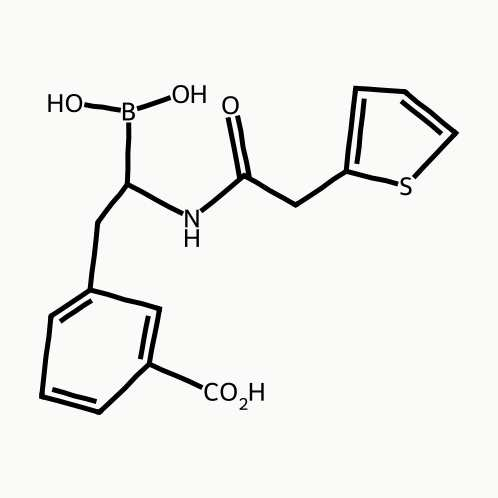 O=C(Cc1cccs1)NC(Cc1cccc(C(=O)O)c1)B(O)O